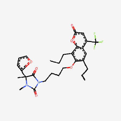 CCCc1cc2c(C(F)(F)F)cc(=O)oc2c(CCC)c1OCCCCN1C(=O)N(C)C(C)(c2ccco2)C1=O